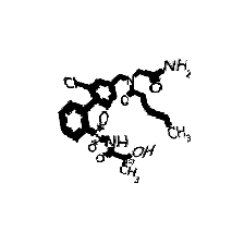 CCCCC(=O)N(CC(N)=O)Cc1ccc(-c2ccccc2S(=O)(=O)NC(=O)[C@H](C)O)c(Cl)c1